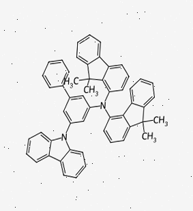 CC1(C)c2ccccc2-c2c(N(c3cc(-c4ccccc4)cc(-n4c5ccccc5c5ccccc54)c3)c3cccc4c3C(C)(C)c3ccccc3-4)cccc21